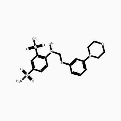 CCCN(CSc1cccc(N2CCOCC2)c1)c1ccc(S(N)(=O)=O)cc1S(=O)(=O)C(F)(F)F